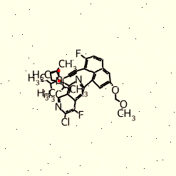 COCOc1cc(-c2cc3c(F)c(Cl)ncc3c(N3CCC3)n2)c2c(C#C[Si](C(C)C)(C(C)C)C(C)C)c(F)ccc2c1